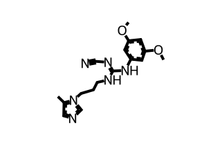 COc1cc(NC(=NC#N)NCCCn2cncc2C)cc(OC)c1